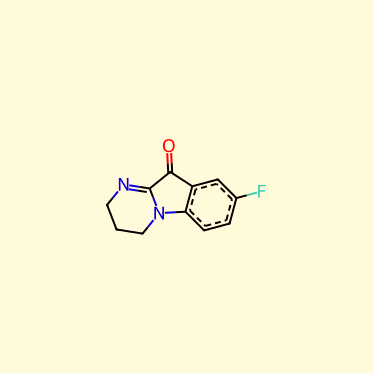 O=C1C2=NCCCN2c2ccc(F)cc21